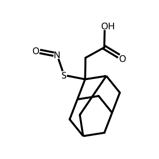 O=NSC1(CC(=O)O)C2CC3CC(C2)CC1C3